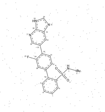 CC(C)(C)NS(=O)(=O)c1ccccc1-c1ccc(-c2cnc3[nH]cnc3c2)c(F)c1